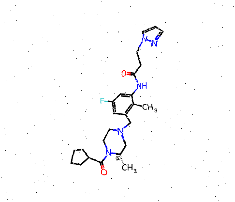 Cc1c(CN2CCN(C(=O)C3CCCC3)[C@@H](C)C2)cc(F)cc1NC(=O)CCn1cccn1